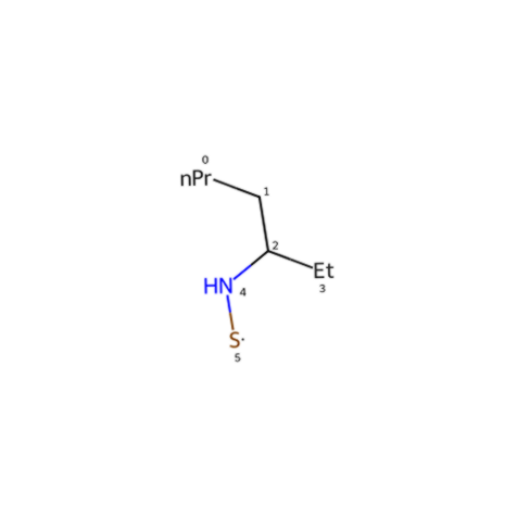 CCCCC(CC)N[S]